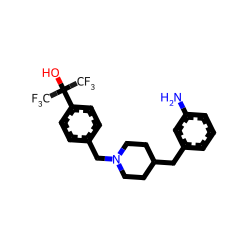 Nc1cccc(CC2CCN(Cc3ccc(C(O)(C(F)(F)F)C(F)(F)F)cc3)CC2)c1